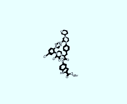 CC(C)(C)OC(=O)c1cc2cc(NC(=O)C(Cc3ccc(N4CCN(C5CCCOC5)CC4=O)cc3)N3CCN(c4cc(Cl)ccc4-n4cnnn4)C(=O)C3=O)ccc2[nH]1